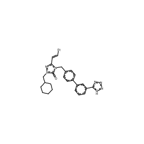 CCC=Cc1nn(CC2CCCCC2)c(=O)n1Cc1ccc(-c2cccc(-c3nnn[nH]3)c2)cc1